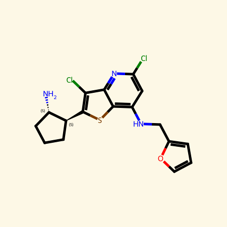 N[C@H]1CCC[C@@H]1c1sc2c(NCc3ccco3)cc(Cl)nc2c1Cl